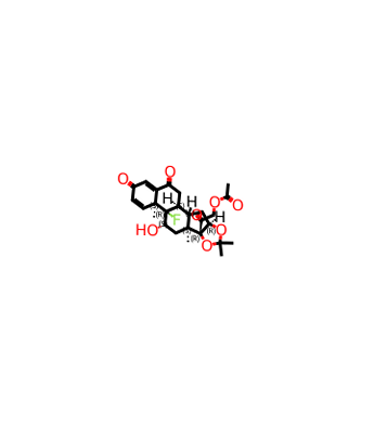 CC(=O)OCC(=O)[C@]12OC(C)(C)O[C@@H]1C[C@H]1[C@@H]3CC(=O)C4=CC(=O)C=C[C@]4(C)[C@@]3(F)[C@@H](O)C[C@@]12C